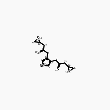 S=C(Cc1c[se]cc1CC(=S)CC1CS1)CC1CS1